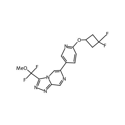 COC(F)(F)c1nnc2cnc(-c3ccc(OC4CC(F)(F)C4)nc3)cn12